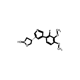 COc1ccc(-c2cncc([C@@H]3COB(O)C3)c2)c(F)c1OC